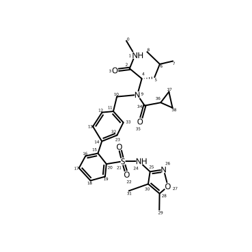 CNC(=O)[C@H](CC(C)C)N(Cc1ccc(-c2ccccc2S(=O)(=O)Nc2noc(C)c2C)cc1)C(=O)C1CC1